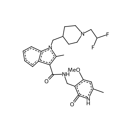 COc1cc(C)[nH]c(=O)c1CNC(=O)c1c(C)n(CC2CCN(CC(F)F)CC2)c2ccccc12